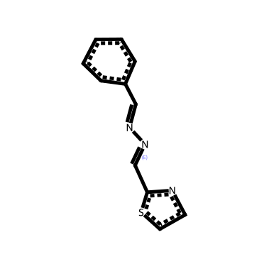 C(=N/N=C/c1nccs1)c1ccccc1